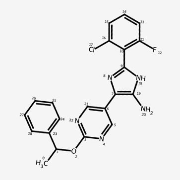 CC(Oc1ncc(-c2nc(-c3c(F)cccc3Cl)[nH]c2N)cn1)c1ccccc1